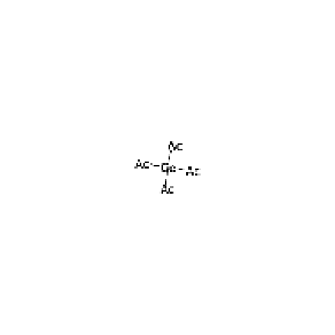 C[C](=O)[Ge]([C](C)=O)([C](C)=O)[C](C)=O